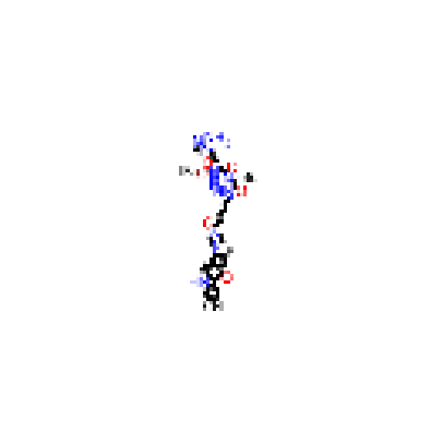 CCc1cc2c(cc1N1CCN(C(=O)CCCCCNC(=O)[C@@H](NC(=O)[C@H](CCCn3ccnc3N)NC(=O)OC(C)(C)C)[C@@H](C)CC)CC1)C(C)(C)c1[nH]c3cc(C#N)ccc3c1C2=O